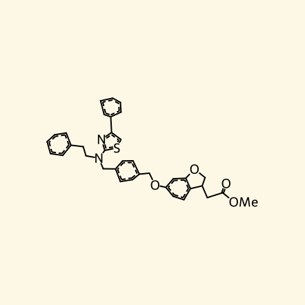 COC(=O)CC1COc2cc(OCc3ccc(CN(CCc4ccccc4)c4nc(-c5ccccc5)cs4)cc3)ccc21